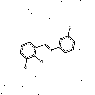 Clc1cccc(N=Cc2cccc(Cl)c2Cl)c1